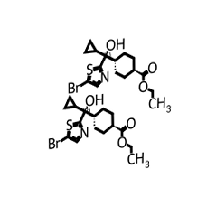 CCOC(=O)[C@H]1CC[C@H]([C@@](O)(c2ncc(Br)s2)C2CC2)CC1.CCOC(=O)[C@H]1CC[C@H]([C@](O)(c2ncc(Br)s2)C2CC2)CC1